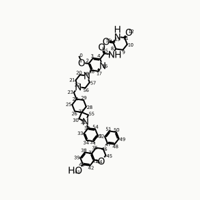 COc1cc(C(=O)NC2CCC(=O)NC2=O)ncc1N1CCN(CC2CCC3(CC2)CN(c2ccc([C@H]4c5ccc(O)cc5OC[C@H]4c4ccccc4)cc2)C3)CC1